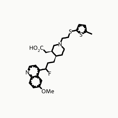 COc1ccc2nccc(C(F)CC[C@@H]3CCN(CCSc4ccc(C)s4)C[C@@H]3CC(=O)O)c2c1